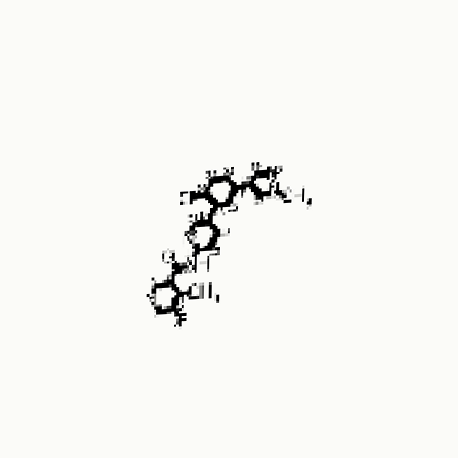 Cc1c(F)cncc1C(=O)Nc1ccc(-c2cc(-c3cnn(C)c3)ccc2Cl)cn1